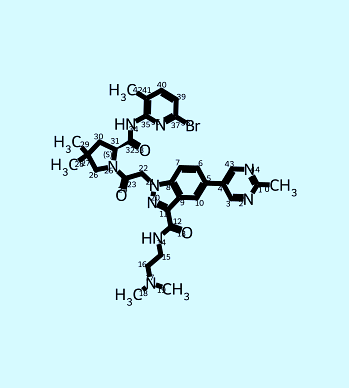 Cc1ncc(-c2ccc3c(c2)c(C(=O)NCCN(C)C)nn3CC(=O)N2CC(C)(C)C[C@H]2C(=O)Nc2nc(Br)ccc2C)cn1